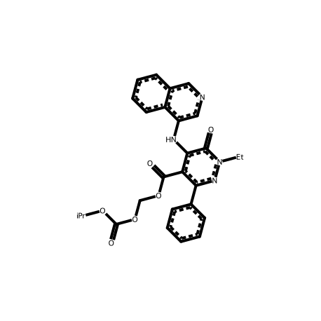 CCn1nc(-c2ccccc2)c(C(=O)OCOC(=O)OC(C)C)c(Nc2cncc3ccccc23)c1=O